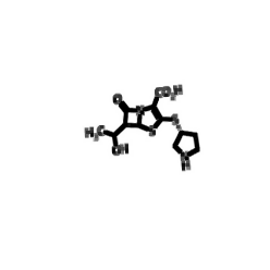 CC(O)C1C(=O)N2C(C(=O)O)=C(S[C@@H]3CCNC3)SC12